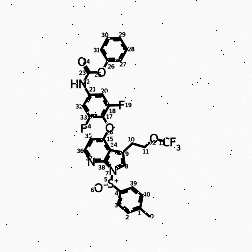 Cc1ccc([S+]([O-])n2cc(CCOC(F)(F)F)c3c(Oc4c(F)cc(NC(=O)Oc5ccccc5)cc4F)ccnc32)cc1